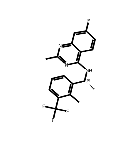 Cc1nc(N[C@H](C)c2cccc(C(F)(F)F)c2C)c2ccc(F)cc2n1